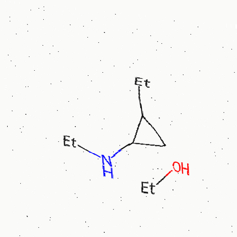 CCNC1CC1CC.CCO